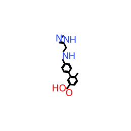 Cc1ccc(C(=O)O)cc1-c1ccc(CNCCc2cnc[nH]2)cc1